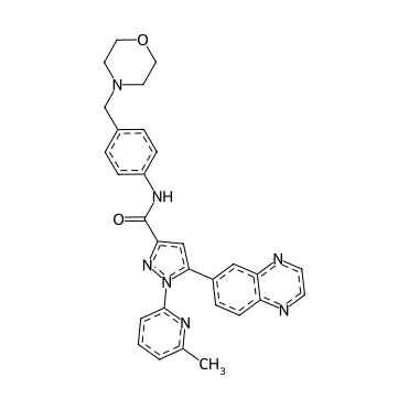 Cc1cccc(-n2nc(C(=O)Nc3ccc(CN4CCOCC4)cc3)cc2-c2ccc3nccnc3c2)n1